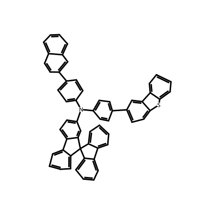 c1ccc2c(c1)-c1ccccc1C21c2ccccc2-c2ccc(N(c3ccc(-c4ccc5ccccc5c4)cc3)c3ccc(-c4ccc5sc6ccccc6c5c4)cc3)cc21